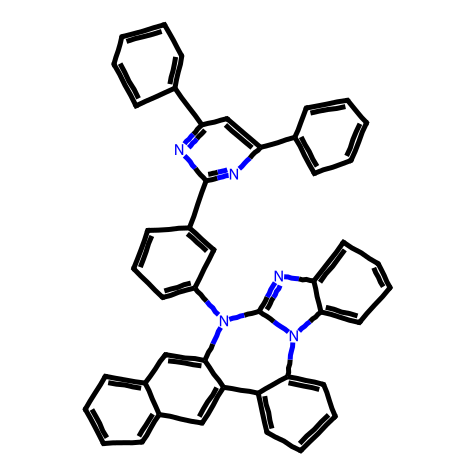 c1ccc(-c2cc(-c3ccccc3)nc(-c3cccc(N4c5cc6ccccc6cc5-c5ccccc5-n5c4nc4ccccc45)c3)n2)cc1